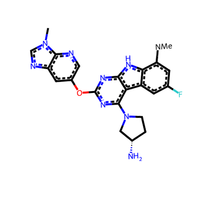 CNc1cc(F)cc2c1[nH]c1nc(Oc3cnc4c(c3)ncn4C)nc(N3CC[C@H](N)C3)c12